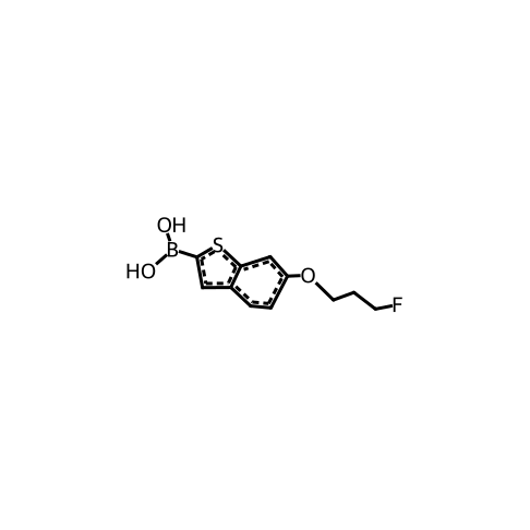 OB(O)c1cc2ccc(OCCCF)cc2s1